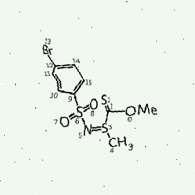 COC(=S)S(C)=NS(=O)(=O)c1ccc(Br)cc1